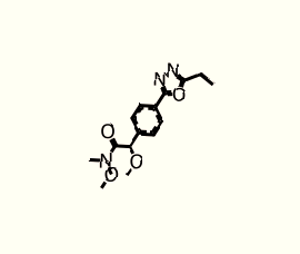 CCc1nnc(-c2ccc(C(OC)C(=O)N(C)OC)cc2)o1